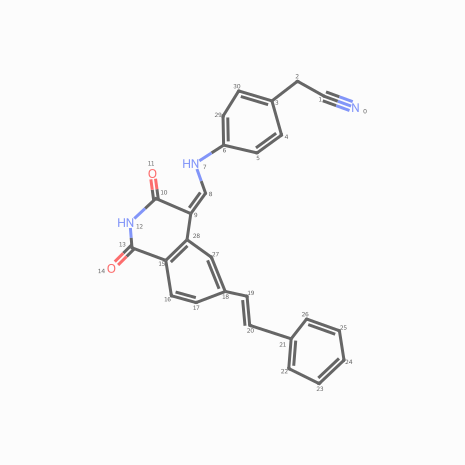 N#CCc1ccc(NC=C2C(=O)NC(=O)c3ccc(C=Cc4ccccc4)cc32)cc1